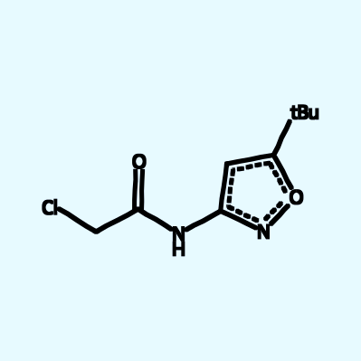 CC(C)(C)c1cc(NC(=O)CCl)no1